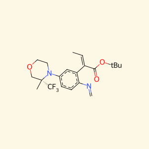 C=Nc1ccc(N2CCOC[C@@]2(C)C(F)(F)F)cc1/C(=C\C)C(=O)OC(C)(C)C